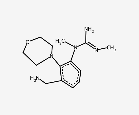 CN=C(N)N(C)c1cccc(CN)c1N1CCOCC1